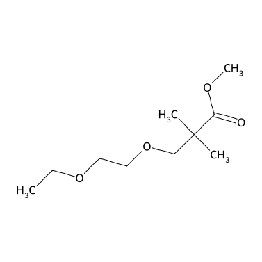 CCOCCOCC(C)(C)C(=O)OC